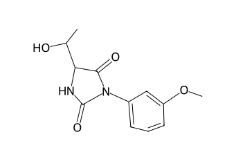 COc1cccc(N2C(=O)NC(C(C)O)C2=O)c1